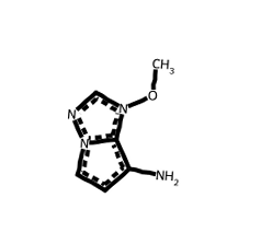 COn1cnn2ccc(N)c12